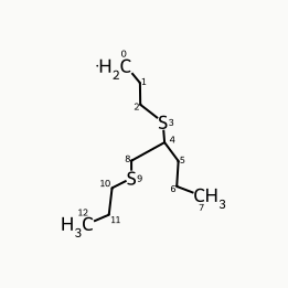 [CH2]CCSC(CCC)CSCCC